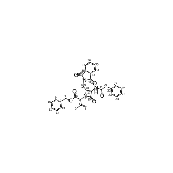 C=C(C)C(C(=O)OCc1ccccc1)N1C(=O)C(NC(=O)Cc2ccccc2)C1SN1C(=O)c2ccccc2C1=O